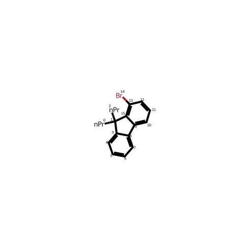 CCCC1(CCC)c2ccccc2-c2cccc(Br)c21